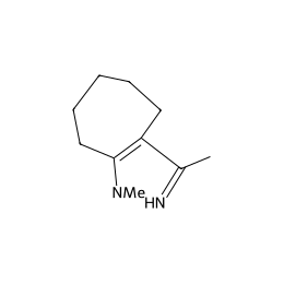 CNC1=C(C(C)=N)CCCCC1